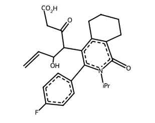 C=CC(O)C(C(=O)CC(=O)O)c1c2c(c(=O)n(C(C)C)c1-c1ccc(F)cc1)CCCC2